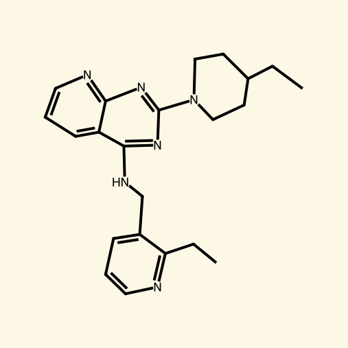 CCc1ncccc1CNc1nc(N2CCC(CC)CC2)nc2ncccc12